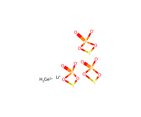 O=P1([O-])OSO1.O=P1([O-])OSO1.O=P1([O-])OSO1.[GeH2+2].[Li+]